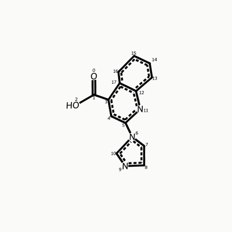 O=C(O)c1cc(-n2ccnc2)nc2ccccc12